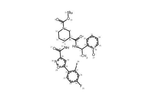 CC(NC(=O)[C@@H]1CN(C(=O)OC(C)(C)C)CC[C@H]1NC(=O)c1cc(-c2ccc(F)cc2F)on1)c1cccc[n+]1[O-]